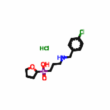 Cl.O=P(O)(CCCNCc1ccc(Cl)cc1)C1CCCO1